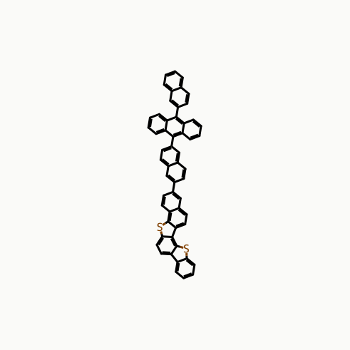 c1ccc2cc(-c3c4ccccc4c(-c4ccc5cc(-c6ccc7c(ccc8c7sc7ccc9c%10ccccc%10sc9c78)c6)ccc5c4)c4ccccc34)ccc2c1